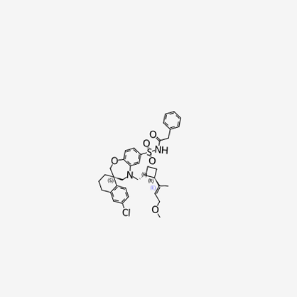 COC/C=C(\C)[C@@H]1CC[C@H]1CN1C[C@@]2(CCCc3cc(Cl)ccc32)COc2ccc(S(=O)(=O)NC(=O)Cc3ccccc3)cc21